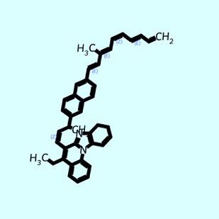 C=C/C=C/C=C\C=C(C)\C=C\c1ccc2cc(C(C)/C=C\c3c(CC)c4ccccc4n4c5c(nc34)CCC=C5)ccc2c1